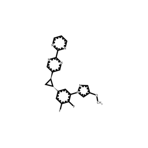 COc1cnn(-c2cc([C@@H]3C[C@H]3c3cnc(-c4ncccn4)nc3)cc(F)c2F)c1